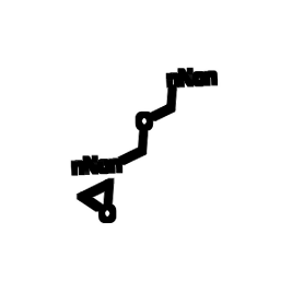 C1CO1.CCCCCCCCCCOCCCCCCCCCC